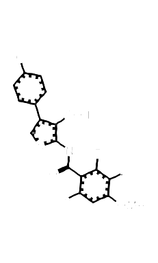 COc1cc(F)c(C(=O)Nc2scc(-c3ccc(C)cc3)c2C(=O)O)c(F)c1F